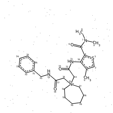 Cc1csc(C(=O)N(C)C)c1NC(=O)C[N+]1(CC(=O)NCc2ccccc2)CCCCCC1